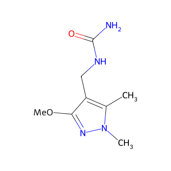 COc1nn(C)c(C)c1CNC(N)=O